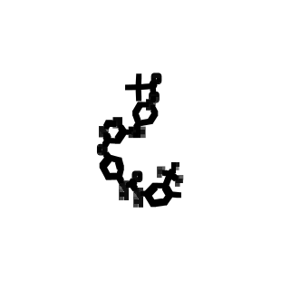 Cc1ccc(NC(=O)Nc2ccc(Oc3cc(NC4CCN(OC(=O)C(C)(C)C)CC4)ncn3)cc2)cc1C(F)(F)F